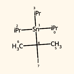 C[CH](C)[Sn]([CH](C)C)([CH](C)C)[C](C)(C)I